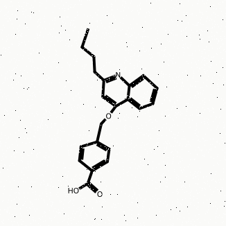 CCCCc1cc(OCc2ccc(C(=O)O)cc2)c2ccccc2n1